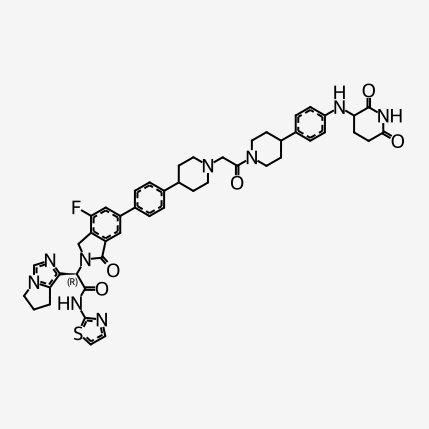 O=C1CCC(Nc2ccc(C3CCN(C(=O)CN4CCC(c5ccc(-c6cc(F)c7c(c6)C(=O)N([C@@H](C(=O)Nc6nccs6)c6ncn8c6CCC8)C7)cc5)CC4)CC3)cc2)C(=O)N1